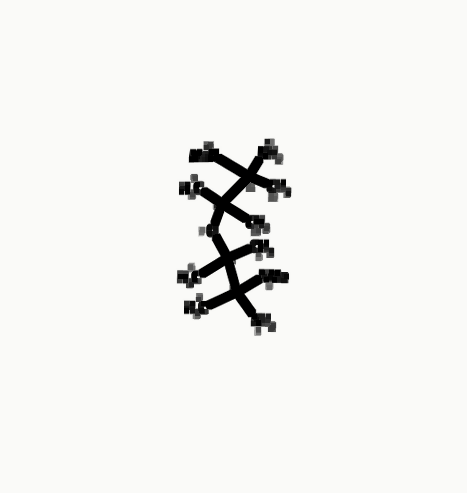 CNC(C)(N)C(C)(C)OC(C)(C)C(C)(N)NC